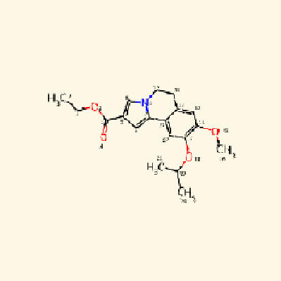 CCOC(=O)c1cc2n(c1)CCc1cc(OC)c(OC(C)C)cc1-2